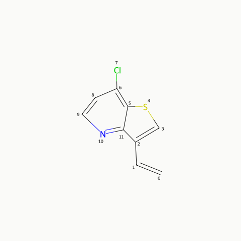 C=Cc1csc2c(Cl)ccnc12